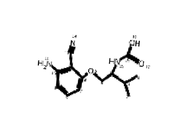 CC(C)C(COc1cccc(N)c1C#N)NC(=O)O